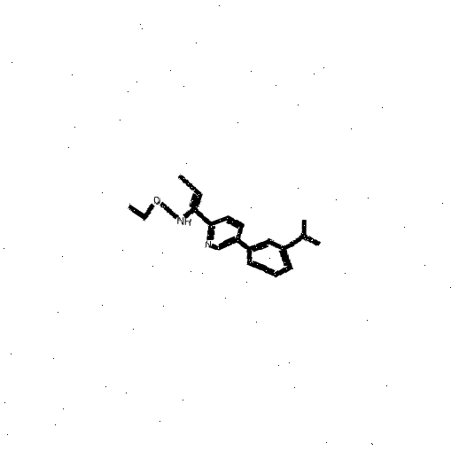 CC=C(NOCC)c1ccc(-c2cccc(C(C)C)c2)cn1